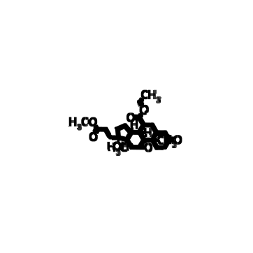 CCOC(=O)C1CC2=CC(=O)CC[C@]2(C)[C@@]23OC2C[C@@]2(C)[C@@H](CC[C@]2(O)CCC(=O)OC)[C@H]13